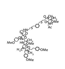 COC1=CC=C(C[C@H](NC(=O)C(NC(=O)CN(C)C(=O)[C@H](Cc2ccc(OC)cc2)N(C)C(=O)CCc2ccc(OC)cc2)[C@@H](C)OC)C(=O)N2C=CCC2C(=O)NCCSCc2cccc(CSCCC(=O)N(C)C(C(=O)NCC(C)=O)[C@@H](C)OC)c2)CC1